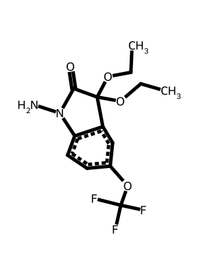 CCOC1(OCC)C(=O)N(N)c2ccc(OC(F)(F)F)cc21